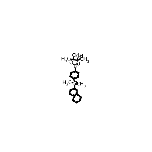 CC1(C)OB(c2ccc([Si](C)(C)c3ccc4ccccc4c3)cc2)OC1(C)C